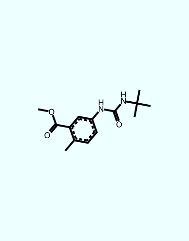 COC(=O)c1cc(NC(=O)NC(C)(C)C)ccc1C